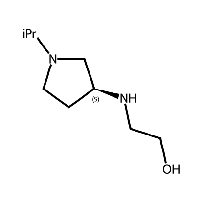 CC(C)N1CC[C@H](NCCO)C1